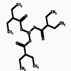 CCC(CC)C(=O)[O][Sb]([O]C(=O)C(CC)CC)[O]C(=O)C(CC)CC